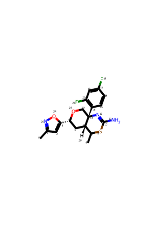 Cc1cc([C@H]2C[C@H]3C(C)SC(N)=N[C@@]3(c3ccc(F)cc3F)CO2)on1